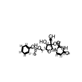 C#C[C@@]1(O)[C@H](O)[C@@H](CO[PH](=S)Oc2ccccc2)O[C@H]1n1ccc(=O)[nH]c1=O